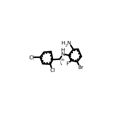 C[C@@H](Nc1c(N)ccc(Br)c1F)c1ccc(Cl)cc1Cl